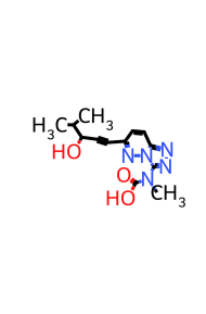 CC(C)C(O)C#Cc1ccc2nnc(N(C)C(=O)O)n2n1